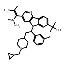 C/C(N)=C(\c1cnc2c3ccc(C(C)(C)O)cc3n(C(CC3CCN(CC4CC4)CC3)c3cccc(F)c3)c2c1)N(C)N